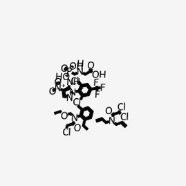 C=CCN(CC=C)C(=O)C(Cl)Cl.CCOCN(C(=O)CCl)c1c(C)cccc1CC.Nc1c([N+](=O)[O-])cnn1-c1c(Cl)cc(C(F)(F)F)cc1Cl.O=C(O)CNCP(=O)(O)O